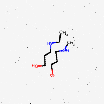 CCNCCCO.CNCCCO